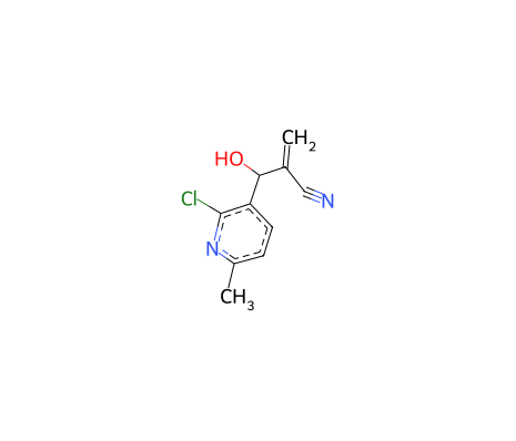 C=C(C#N)C(O)c1ccc(C)nc1Cl